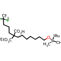 CCOC(=O)C(CCCCCCCO[Si](C)(C)C(C)(C)C)(CCCC(F)(F)C(F)(F)F)C(=O)O